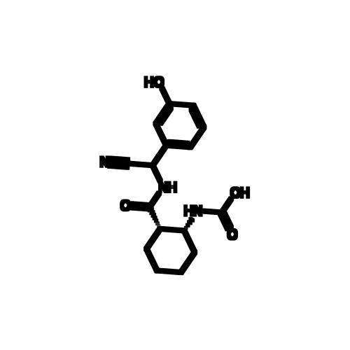 N#CC(NC(=O)[C@H]1CCCC[C@H]1NC(=O)O)c1cccc(O)c1